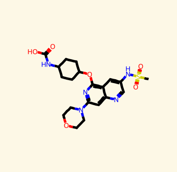 CS(=O)(=O)Nc1cnc2cc(N3CCOCC3)nc(OC3CCC(NC(=O)O)CC3)c2c1